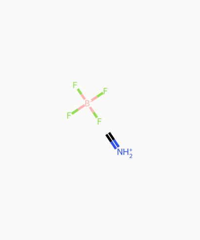 C=[NH2+].F[B-](F)(F)F